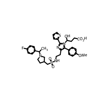 COc1ccc(-c2c(CCNS(=O)(=O)CC3CCN(C(C)c4ccc(F)cc4)C3)nc(-c3cccs3)n2C(O)CCC(=O)O)cc1